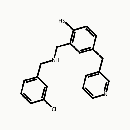 Sc1ccc(Cc2cccnc2)cc1CNCc1cccc(Cl)c1